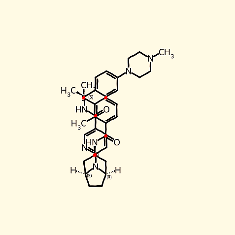 CSc1cccc(C(=O)N[C@H]2C[C@H]3CC[C@@H](C2)N3c2ccc(C(=O)N[C@@H](C)c3ccc(N4CCN(C)CC4)cc3)cn2)c1C